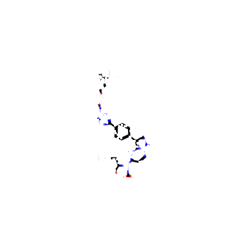 CCC1COC(=O)N1c1ccn2ncc(-c3ccc(-c4ncn(COCC[Si](C)(C)C)n4)cc3)c2n1